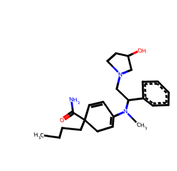 CCCCC1(C(N)=O)C=CC(N(C)C(CN2CCC(O)C2)c2ccccc2)=CC1